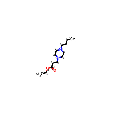 CCCCN1CCN(CCC(=O)OCC)CC1